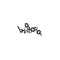 CCCn1ccc(S(=O)(=O)N2CCC(Cc3ccccc3)(c3cc4cnn(-c5ccc(F)cc5)c4cc3Cl)C2)c1